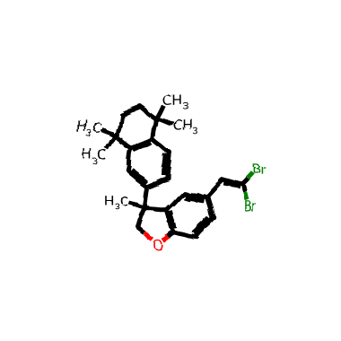 CC1(C)CCC(C)(C)c2cc(C3(C)COc4ccc(C=C(Br)Br)cc43)ccc21